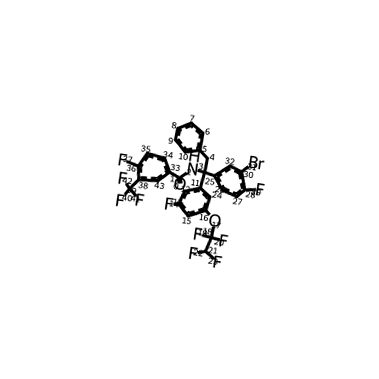 O=C(NC(Cc1ccccc1)(c1cc(F)cc(OC(F)(F)C(F)F)c1)c1ccc(F)c(Br)c1)c1ccc(F)c(C(F)(F)F)c1